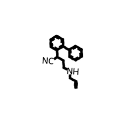 C=CCNCCC(C#N)c1ccccc1-c1ccccc1